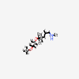 CCNCC(C)C[Si](C)(C)C(CC)(CC)O[Si](C)(C)C(C)(C)O[Si](C)(C)C